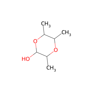 CC1OC(C)C(O)OC1C